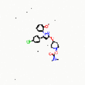 COc1ccccc1-n1nc(OC2CCN(OC(=O)N(C)C)CC2)cc1-c1ccc(Cl)cc1